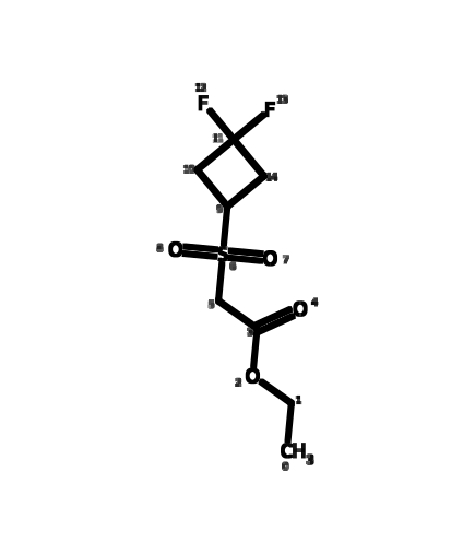 CCOC(=O)CS(=O)(=O)C1CC(F)(F)C1